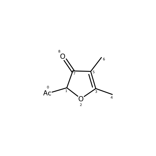 CC(=O)C1OC(C)=C(C)C1=O